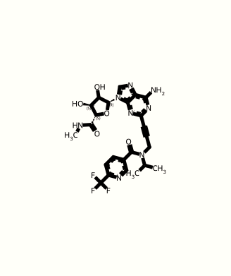 CNC(=O)[C@H]1O[C@@H](n2cnc3c(N)nc(C#CCN(C(=O)c4ccc(C(F)(F)F)nc4)C(C)C)nc32)C(O)[C@@H]1O